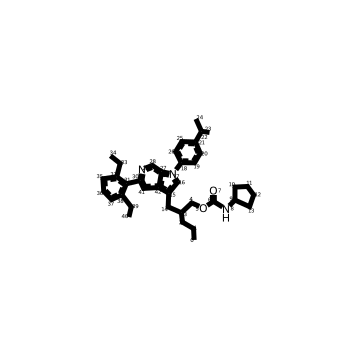 CCCC(COC(=O)NC1CCCC1)Cc1cn(-c2ccc(C(C)C)cc2)c2cnc(-c3c(CC)cccc3CC)cc12